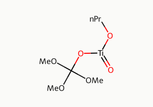 CCC[O][Ti](=[O])[O]C(OC)(OC)OC